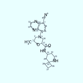 C[C@@H]1CN(c2ccc(C#N)c3nccnc23)CC(C(=O)NC2CCNC3(CCC3)C2)O1